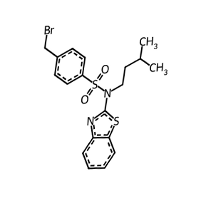 CC(C)CCN(c1nc2ccccc2s1)S(=O)(=O)c1ccc(CBr)cc1